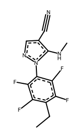 CCc1c(F)c(F)c(-n2ncc(C#N)c2NC)c(F)c1F